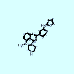 COc1cncc2nc(-c3ccnc(Nc4ncco4)c3)nc(N3CCNCC3)c12